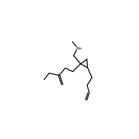 C=CCCC1CC1(CCC(=C)CC)CNC